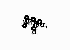 Fc1cc(Cl)ccc1Cn1nc2c(C(F)(F)F)cccc2c1-c1cccc(Oc2ccccc2-c2nc3ccccc3[nH]2)c1